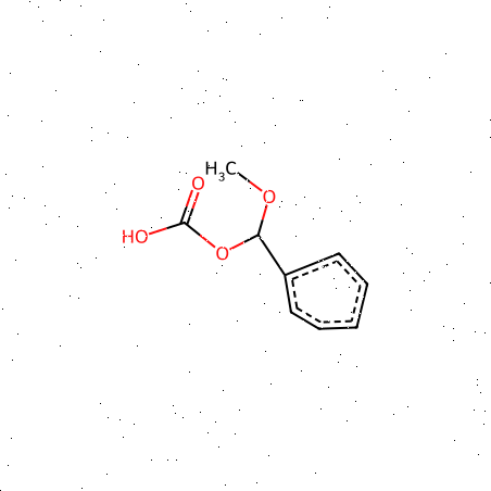 COC(OC(=O)O)c1ccccc1